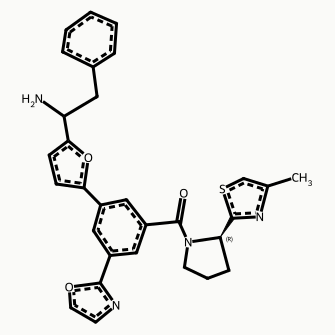 Cc1csc([C@H]2CCCN2C(=O)c2cc(-c3ccc(C(N)Cc4ccccc4)o3)cc(-c3ncco3)c2)n1